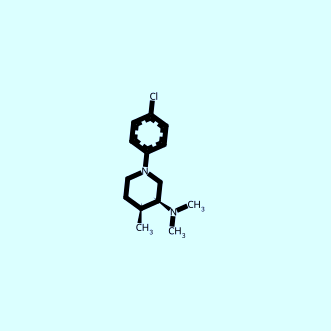 C[C@H]1CCN(c2ccc(Cl)cc2)C[C@H]1N(C)C